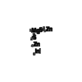 [In].[Mg].[S].[S].[Zn].[Zn]